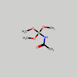 CO[Si](NC(C)=O)(OC)OC